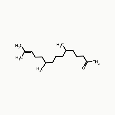 CC(=O)CCCC(C)CCCC(C)CCC=C(C)C